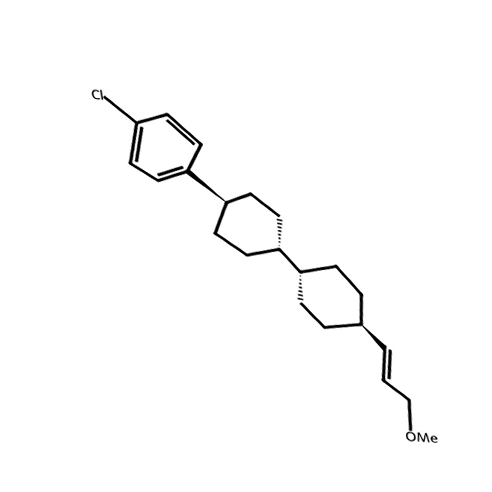 COCC=C[C@H]1CC[C@H]([C@H]2CC[C@H](c3ccc(Cl)cc3)CC2)CC1